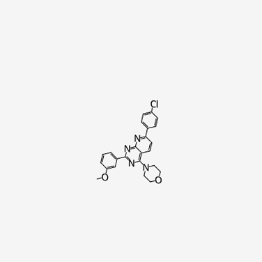 COc1cccc(-c2nc(N3CCOCC3)c3ccc(-c4ccc(Cl)cc4)nc3n2)c1